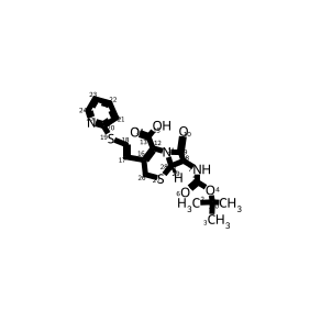 CC(C)(C)OC(=O)NC1C(=O)N2C(C(=O)O)=C(C=CSc3ccccn3)CS[C@@H]12